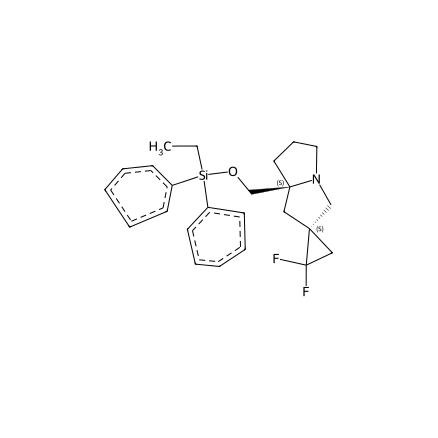 CC[Si](OC[C@@]12CCCN1C[C@@]1(CC1(F)F)C2)(c1ccccc1)c1ccccc1